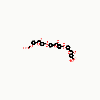 O=C(O)c1ccc2oc(-c3cccc(OC(=O)c4ccc5oc(-c6ccc(OC(=O)c7ccc8oc(-c9cccc(OCCO)c9)cc(=O)c8c7)cc6)cc(=O)c5c4)c3)cc(=O)c2c1